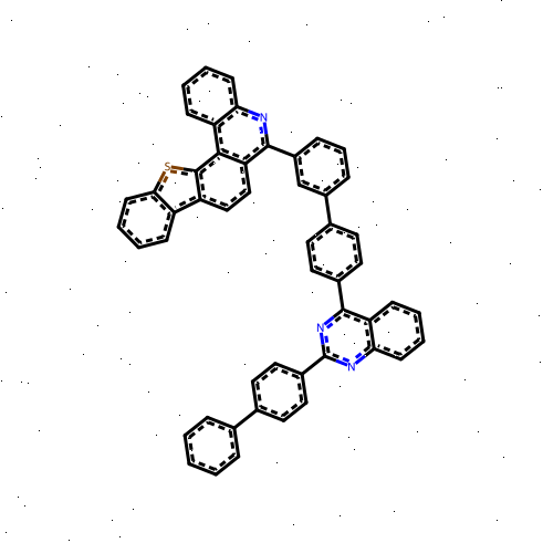 c1ccc(-c2ccc(-c3nc(-c4ccc(-c5cccc(-c6nc7ccccc7c7c6ccc6c8ccccc8sc67)c5)cc4)c4ccccc4n3)cc2)cc1